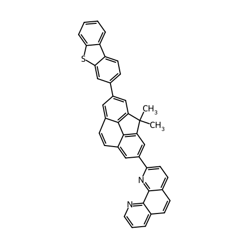 CC1(C)c2cc(-c3ccc4c(c3)sc3ccccc34)cc3ccc4cc(-c5ccc6ccc7cccnc7c6n5)cc1c4c23